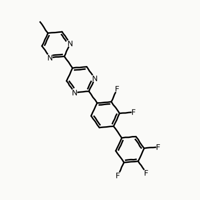 Cc1cnc(-c2cnc(-c3ccc(-c4cc(F)c(F)c(F)c4)c(F)c3F)nc2)nc1